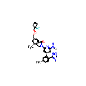 CCNc1cc(-c2cc(C#N)ccc2-c2nncn2C)cc(N2Cc3c(cc(COCC4(F)CCC4)cc3C(F)(F)F)C2=O)n1